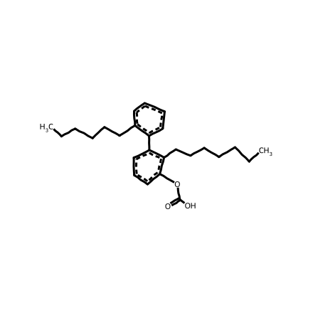 CCCCCCCc1c(OC(=O)O)cccc1-c1ccccc1CCCCCC